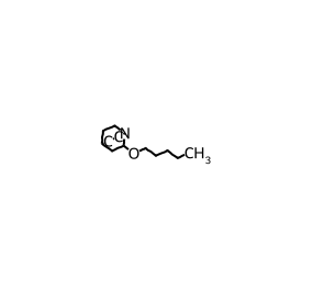 CCCCCOC1CC2CCN1CC2